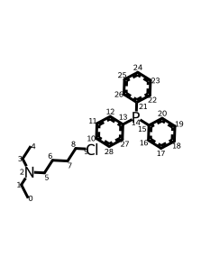 CCN(CC)CCCCCl.c1ccc(P(c2ccccc2)c2ccccc2)cc1